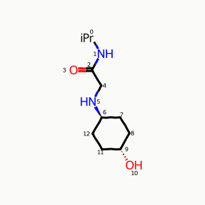 CC(C)NC(=O)CN[C@H]1CC[C@H](O)CC1